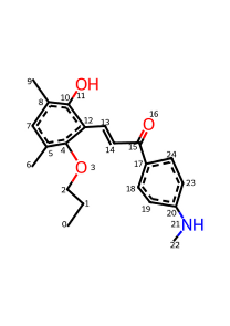 CCCOc1c(C)cc(C)c(O)c1C=CC(=O)c1ccc(NC)cc1